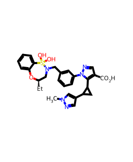 CC[C@@H]1CN(Cc2cccc(-n3ncc(C(=O)O)c3C3CC3c3cnn(C)c3)c2)S(O)(O)c2ccccc2O1